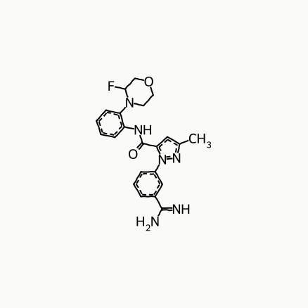 Cc1cc(C(=O)Nc2ccccc2N2CCOCC2F)n(-c2cccc(C(=N)N)c2)n1